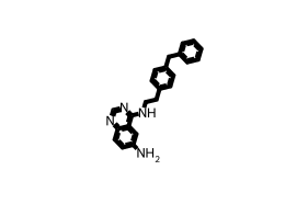 Nc1ccc2ncnc(NCCc3ccc(Cc4ccccc4)cc3)c2c1